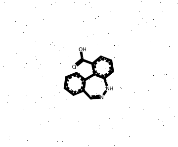 O=C(O)c1cccc2c1-c1ccccc1C=NN2